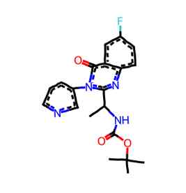 CC(NC(=O)OC(C)(C)C)c1nc2ccc(F)cc2c(=O)n1-c1cccnc1